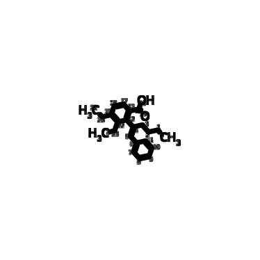 CCCCC(=Cc1ccccc1)c1c(C(=O)O)ccc(CC)c1CC